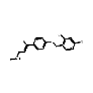 CNCC=C(C)c1ccc(SCc2ccc(Cl)cc2Cl)cc1